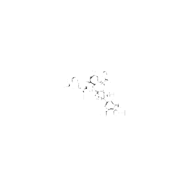 CC(=O)C[C@@H](C=O)NC(=O)CN1C(=O)[C@@H](NC(=O)c2cc(Cl)c(O)c(Cl)c2)CN(C(C)=O)c2ccccc21